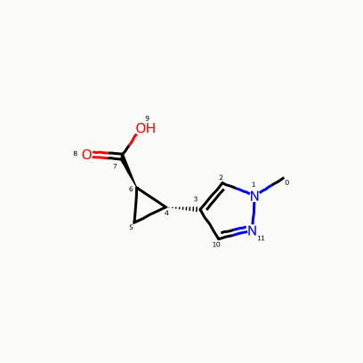 Cn1cc([C@@H]2C[C@H]2C(=O)O)cn1